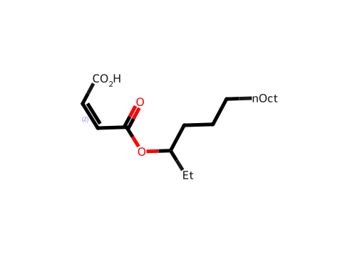 CCCCCCCCCCCC(CC)OC(=O)/C=C\C(=O)O